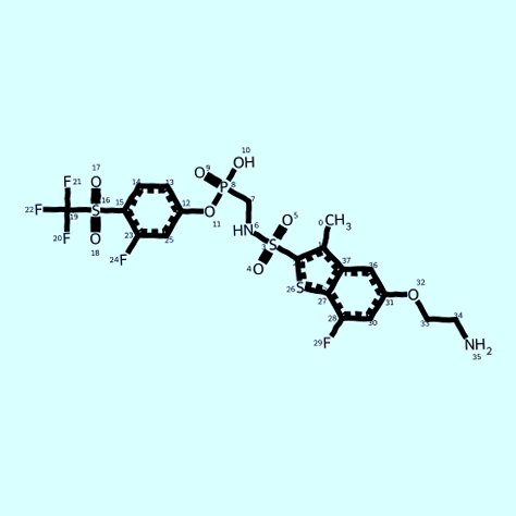 Cc1c(S(=O)(=O)NCP(=O)(O)Oc2ccc(S(=O)(=O)C(F)(F)F)c(F)c2)sc2c(F)cc(OCCN)cc12